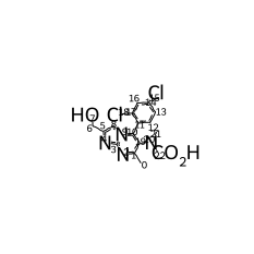 Cc1nc2nc(CO)cn2c(-c2ccc(Cl)cc2Cl)c1N(C)C(=O)O